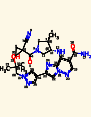 C[C@@H]1CN(C(=O)C2(C#N)CC2)C[C@H]1Nc1c(C(N)=O)cnn2cc(-c3cnn(CC(C)(C)O)c3)nc12